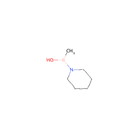 CB(O)N1CCCCC1